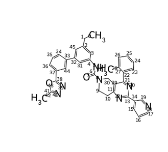 CCc1cc(NC(=O)N2CCc3nc(-c4cccnc4)nc(-c4ccccc4C)c3C2)cc(-c2cccc(-c3nnc(C)o3)c2)c1